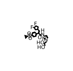 O=C(Nc1ccn(C[C@H](O)CO)n1)/C(=C/C1CC(F)C(F)C1)c1ccc(S(=O)(=O)C2CC2)cc1